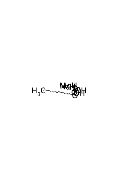 CCCCCCCCCCCCCCCCCC(=O)OP(=O)(O)O.[MgH2].[NaH]